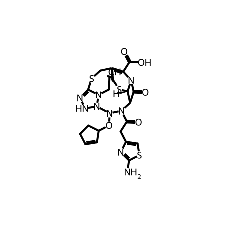 C#CCN1C2=NNN1N(OC1C=CCC1)N(C(=O)Cc1csc(N)n1)C1C(=O)N3C(C(=O)O)=C(CS2)CS[C@@H]13